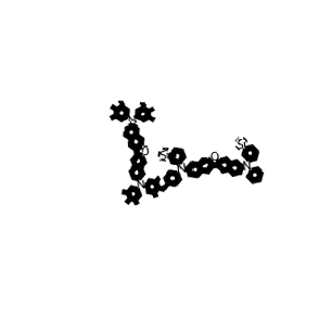 Cc1cc(N(c2cc(C)c(C)c(C)c2)c2ccc3cc4c(cc3c2)oc2cc3cc(N(c5cc(C)c(C)c(C)c5)c5cc(C)c(Cc6ccc(N(c7cccc([Si](C)(C)C)c7)c7ccc8cc9c(cc8c7)oc7cc8cc(N(c%10ccccc%10)c%10cccc([Si](C)(C)C)c%10)ccc8cc79)cc6)c(C)c5)ccc3cc24)cc(C)c1C